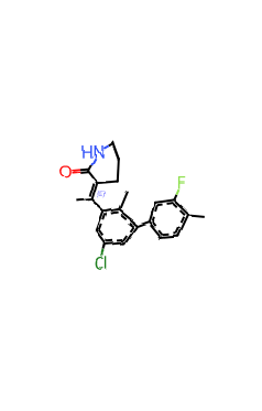 C/C(=C1/CCCNC1=O)c1cc(Cl)cc(-c2ccc(C)c(F)c2)c1C